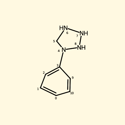 c1ccc(N2CNNN2)cc1